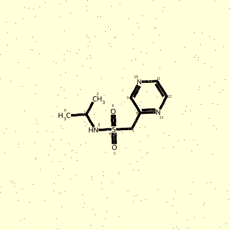 CC(C)NS(=O)(=O)Cc1cnccn1